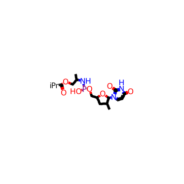 CC(COC(=O)C(C)C)NP(O)OCC1CC(C)C(n2ccc(=O)[nH]c2=O)O1